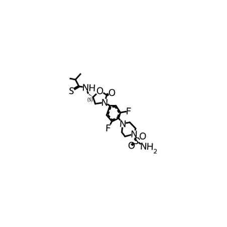 CC(C)C(=S)NC[C@H]1CN(c2cc(F)c(N3CCN(S(N)(=O)=O)CC3)c(F)c2)C(=O)O1